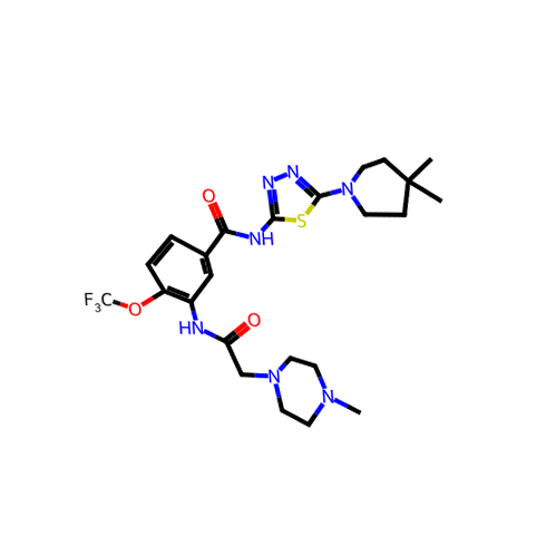 CN1CCN(CC(=O)Nc2cc(C(=O)Nc3nnc(N4CCC(C)(C)CC4)s3)ccc2OC(F)(F)F)CC1